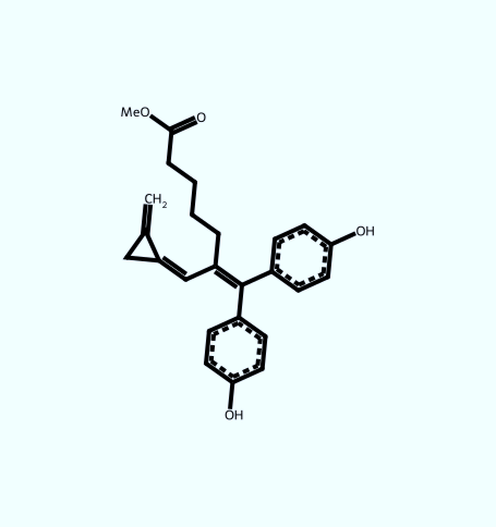 C=C1C/C1=C/C(CCCCC(=O)OC)=C(c1ccc(O)cc1)c1ccc(O)cc1